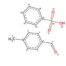 Cc1ccc(C=O)cc1.O=S(=O)(O)c1ccccc1